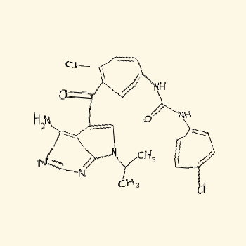 CC(C)n1cc(C(=O)c2cc(NC(=O)Nc3ccc(Cl)cc3)ccc2Cl)c2c(N)ncnc21